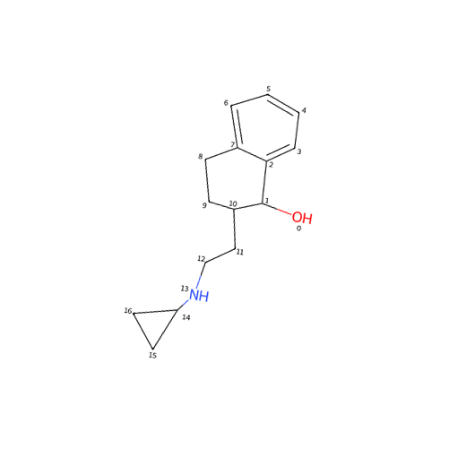 OC1c2ccccc2CCC1CCNC1CC1